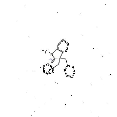 CN1/C(=C/C=O)C(Cc2ccccc2)(Cc2ccccc2)c2ccccc21